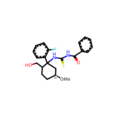 CO[C@H]1CCC(CO)C(NC(=S)NC(=O)c2ccccc2)(c2ccccc2F)C1